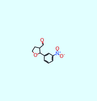 O=CC1CCOC1c1cccc([N+](=O)[O-])c1